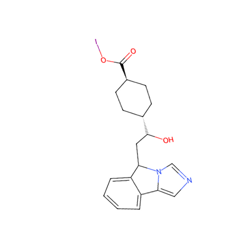 O=C(OI)[C@H]1CC[C@H](C(O)CC2c3ccccc3-c3cncn32)CC1